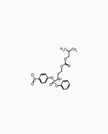 CC(C)COC(=O)OCCNP(=O)(Oc1ccccc1)Oc1ccc([N+](=O)[O-])cc1